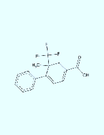 CC1(C(F)(F)F)CC(C(=O)O)=CC=C1c1ccccc1